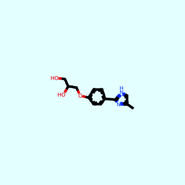 Cc1c[nH]c(-c2ccc(OCC(O)CO)cc2)n1